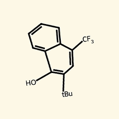 CC(C)(C)c1cc(C(F)(F)F)c2ccccc2c1O